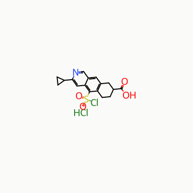 Cl.O=C(O)C1CCc2c(cc3cnc(C4CC4)cc3c2S(=O)(=O)Cl)C1